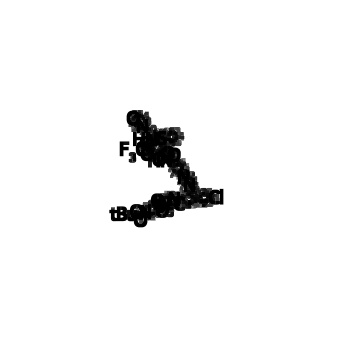 CC(C)(C)OC(=O)N1CCC(S(=O)(=O)N2CCN(C[C@]3(C)CCC(c4ccc(Cl)cc4)=C(CN4CCN(c5ccc(C(=O)NS(=O)(=O)c6ccc(N[C@H](CCN7CCCOCC7)CSc7ccccc7)c(S(=O)(=O)C(F)(F)F)c6)cc5)CC4)C3)CC2)CC1